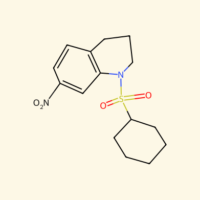 O=[N+]([O-])c1ccc2c(c1)N(S(=O)(=O)C1CCCCC1)CCC2